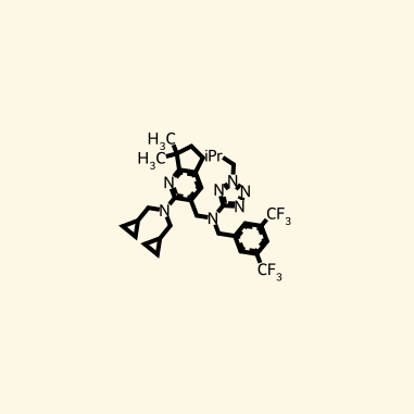 CC(C)Cn1nnc(N(Cc2cc(C(F)(F)F)cc(C(F)(F)F)c2)Cc2cc3c(nc2N(CC2CC2)CC2CC2)C(C)(C)CC3)n1